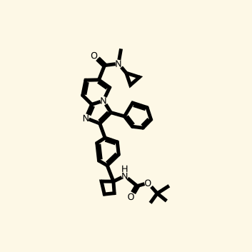 CN(C(=O)c1ccc2nc(-c3ccc(C4(NC(=O)OC(C)(C)C)CCC4)cc3)c(-c3ccccc3)n2c1)C1CC1